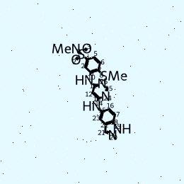 CNS(=O)(=O)c1ccc(SC)c(Nc2cc(Nc3ccc4[nH]ncc4c3)ncn2)c1